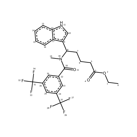 CCOC(=O)CCCC(c1c[nH]c2ccccc12)N(C)C(=O)c1cc(C(F)(F)F)cc(C(F)(F)F)c1